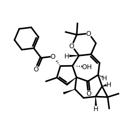 CC1=C[C@]23C(=O)[C@@H](C=C4COC(C)(C)O[C@H]4[C@]2(O)[C@H]1OC(=O)C1=CCCCC1)[C@H]1[C@@H](C[C@H]3C)C1(C)C